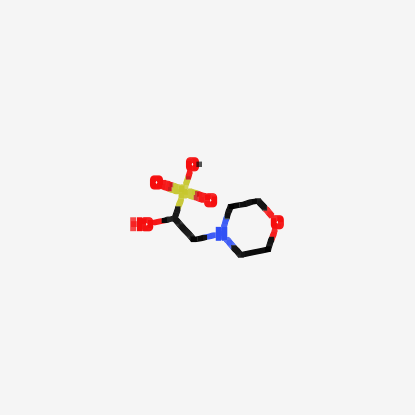 [O]S(=O)(=O)C(O)CN1CCOCC1